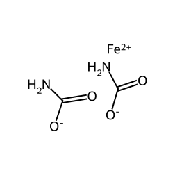 NC(=O)[O-].NC(=O)[O-].[Fe+2]